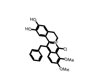 COc1ccc2c(Cc3ccccc3)c3[n+](c(Cl)c2c1OC)CCc1cc(O)c(O)cc1-3